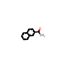 [CH2]C(=O)c1ccc2ccccc2c1